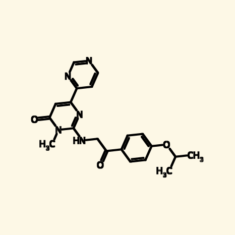 CC(C)Oc1ccc(C(=O)CNc2nc(-c3ccncn3)cc(=O)n2C)cc1